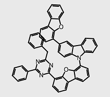 c1ccc(Cc2nc(-c3ccccc3)nc(-c3cccc4c3oc3c(-n5c6ccccc6c6cc(-c7cccc8c7oc7ccccc78)ccc65)cccc34)n2)cc1